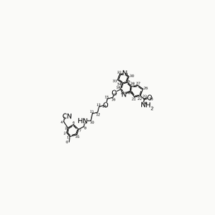 Cc1cc(CC#N)cc(CNCCCCOCCOc2nc3cc(C(N)=O)ccc3c3cnccc23)c1